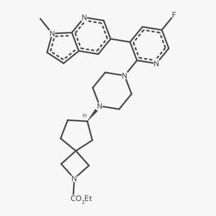 CCOC(=O)N1CC2(CC[C@@H](N3CCN(c4ncc(F)cc4-c4cnc5c(ccn5C)c4)CC3)C2)C1